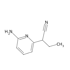 CCC(C#N)c1cccc(N)n1